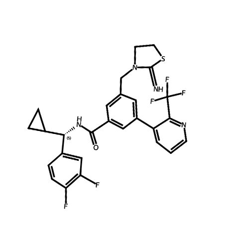 N=C1SCCN1Cc1cc(C(=O)N[C@H](c2ccc(F)c(F)c2)C2CC2)cc(-c2cccnc2C(F)(F)F)c1